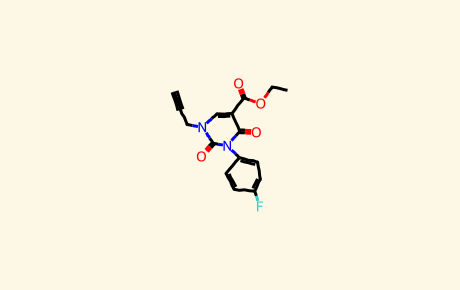 C#CCn1cc(C(=O)OCC)c(=O)n(-c2ccc(F)cc2)c1=O